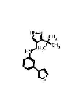 CC(C)(C)c1n[nH]cc1CNc1cccc(-c2ccsc2)c1